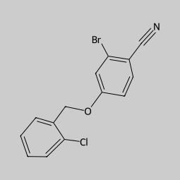 N#Cc1ccc(OCc2ccccc2Cl)cc1Br